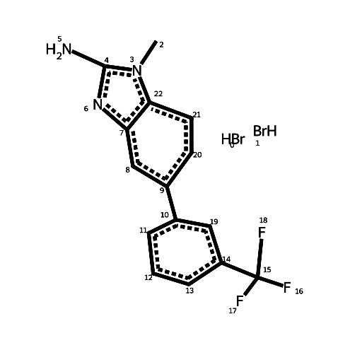 Br.Br.Cn1c(N)nc2cc(-c3cccc(C(F)(F)F)c3)ccc21